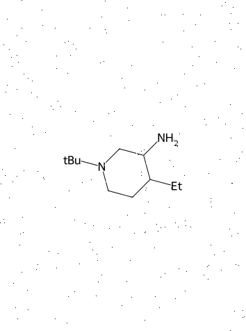 CCC1CCN(C(C)(C)C)CC1N